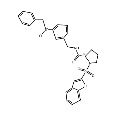 O=C(NCc1cccc([S+]([O-])Cc2ccccc2)c1)[C@@H]1CCCN1S(=O)(=O)c1cc2ccccc2o1